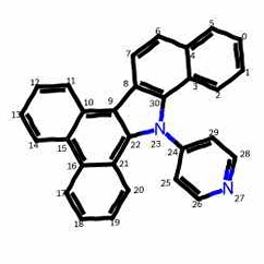 c1ccc2c(c1)ccc1c3c4ccccc4c4ccccc4c3n(-c3ccncc3)c21